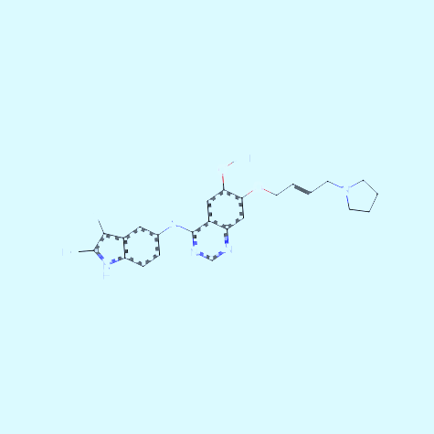 COc1cc2c(Nc3ccc4[nH]c(C)c(C)c4c3)ncnc2cc1OC/C=C/CN1CCCC1